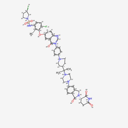 CC(C)(C1CCN(c2ccc(-n3cnc4ccc(Oc5c(F)ccc(NS(=O)(=O)N6CC[C@@H](F)C6)c5C#N)cc4c3=O)cc2)CC1)N1CCN(c2ccc3c(c2)CN([C@H]2CCC(=O)NC2=O)C3=O)CC1